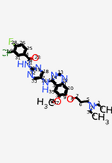 [CH2]CN(CC)CCCOc1cc2ncnc(Nc3cnc(NC(=O)c4ccc(F)c(Cl)c4)nc3)c2cc1OC